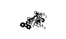 CC(C)(C)OC(=O)N1CCC[C@H]1C(=O)NC(CCCNC(=O)OCC1c2ccccc2-c2ccccc21)C(N)=O